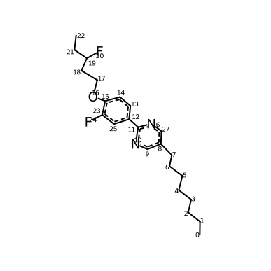 CCCCCCCCc1cnc(-c2ccc(OCCC(F)CC)c(F)c2)nc1